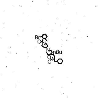 CCCCC1CN(CC2CCCCC2)C(=O)OC12CCN(C1CCN(C(=O)c3c(C)cccc3Br)CC1)CC2